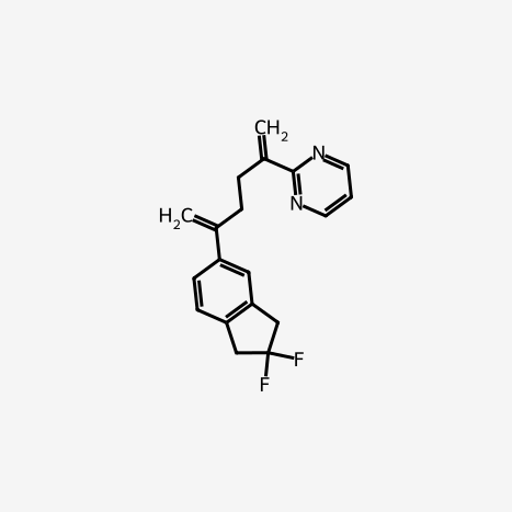 C=C(CCC(=C)c1ncccn1)c1ccc2c(c1)CC(F)(F)C2